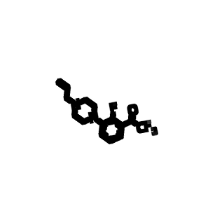 C=CCN1CCN(c2cccc(C(=O)C(F)(F)F)c2F)CC1